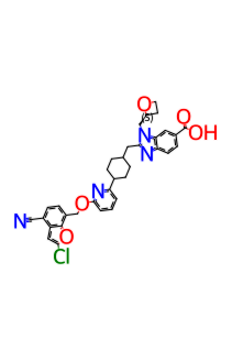 N#Cc1ccc(COc2cccc(C3CCC(Cc4nc5ccc(C(=O)O)cc5n4C[C@@H]4CCO4)CC3)n2)c2oc(Cl)cc12